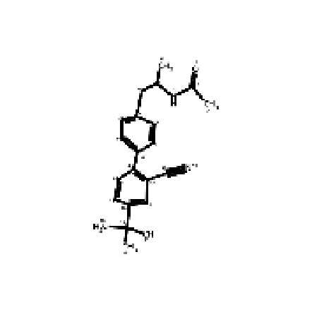 CC(=O)NC(C)Cc1ccc(-c2ccc(C(C)(C)C)cc2C#N)cc1